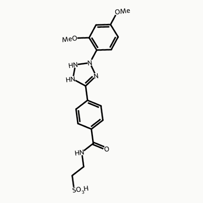 COc1ccc(N2N=C(c3ccc(C(=O)NCCS(=O)(=O)O)cc3)NN2)c(OC)c1